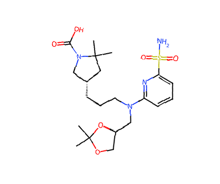 CC1(C)OCC(CN(CCC[C@@H]2CN(C(=O)O)C(C)(C)C2)c2cccc(S(N)(=O)=O)n2)O1